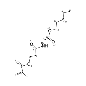 C=C(C)C(=O)OCCC(=O)NCC(=O)OCCSCC